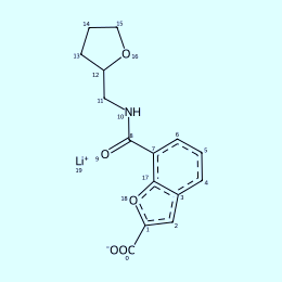 O=C([O-])c1cc2cccc(C(=O)NCC3CCCO3)c2o1.[Li+]